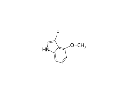 COc1cccc2[nH]cc(F)c12